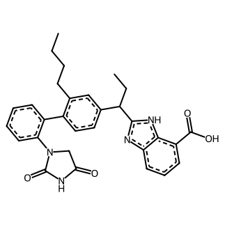 CCCCc1cc(C(CC)c2nc3cccc(C(=O)O)c3[nH]2)ccc1-c1ccccc1N1CC(=O)NC1=O